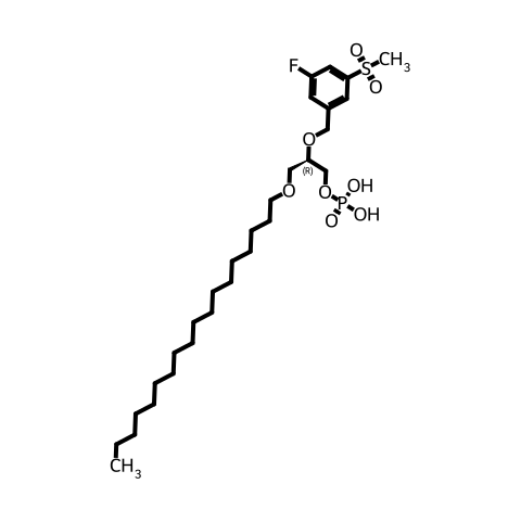 CCCCCCCCCCCCCCCCCCOC[C@H](COP(=O)(O)O)OCc1cc(F)cc(S(C)(=O)=O)c1